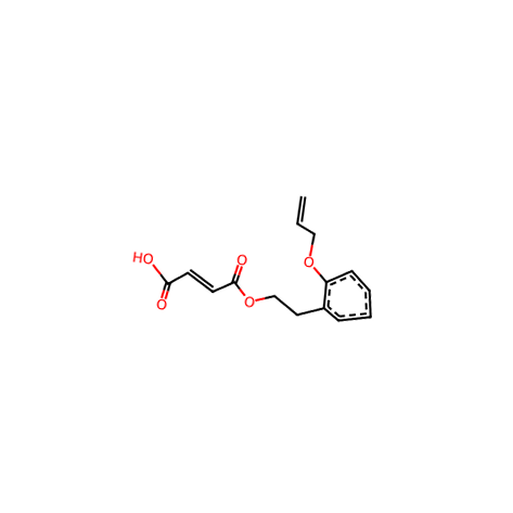 C=CCOc1ccccc1CCOC(=O)/C=C/C(=O)O